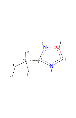 CCC(C)(C)c1ncon1